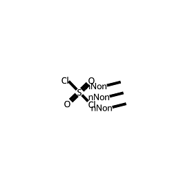 CCCCCCCCCC.CCCCCCCCCC.CCCCCCCCCC.O=S(=O)(Cl)Cl